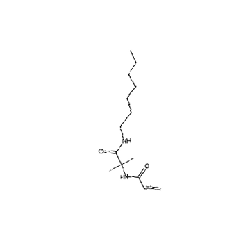 C=CC(=O)NC(C)(C)C(=O)NCCCCCCC